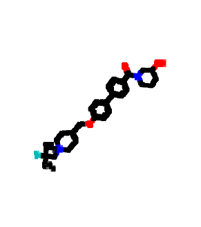 CC(C)(F)CN1CCC(COc2ccc(-c3ccc(C(=O)N4CCCC(O)C4)cc3)cc2)CC1